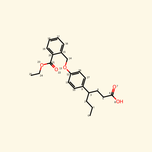 CCCC(CCC(=O)O)c1ccc(OCc2ccccc2C(=O)OCC)cc1